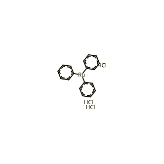 Cl.Cl.Cl.c1cc[c]([Ru]([c]2ccccc2)[c]2ccccc2)cc1